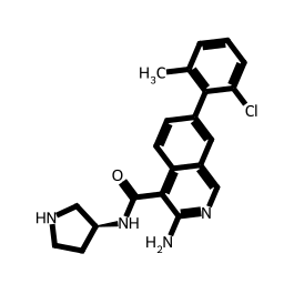 Cc1cccc(Cl)c1-c1ccc2c(C(=O)N[C@H]3CCNC3)c(N)ncc2c1